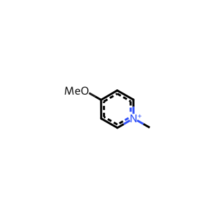 COc1cc[n+](C)cc1